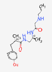 C=CCNCC(=O)N[C@@H](C)CNC(=O)[C@@H](C)Cc1ccc(O)cc1